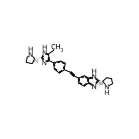 CCc1[nH]c([C@@H]2CCCN2)nc1-c1ccc(C#Cc2ccc3nc([C@@H]4CCCN4)[nH]c3c2)cc1